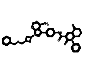 Nc1ncnc2c1c(-c1ccc(NC(=O)c3cc4c(n(-c5ccccc5)c3=O)CCCC4=O)cc1)cn2C1CC(COCc2ccccc2)C1